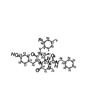 Cc1ccc(CN2C(=O)[C@H](Cc3ccc(O)cc3)N3C(=O)CN(C)N(C(=O)NCc4ccccc4)[C@@H]3[C@@H]2C)c(F)c1